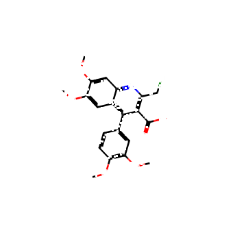 COc1ccc(-c2c(C(=O)O)c(CCl)nc3cc(OC)c(OC)cc23)cc1OC